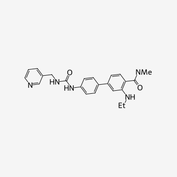 CCNc1cc(-c2ccc(NC(=O)NCc3cccnc3)cc2)ccc1C(=O)NC